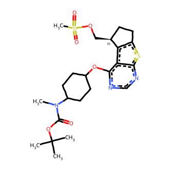 CN(C(=O)OC(C)(C)C)C1CCC(Oc2ncnc3sc4c(c23)[C@@H](COS(C)(=O)=O)CC4)CC1